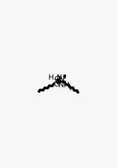 CCCCCCCCOC(=O)C(N)(CCCCCCCC)N(N)CC